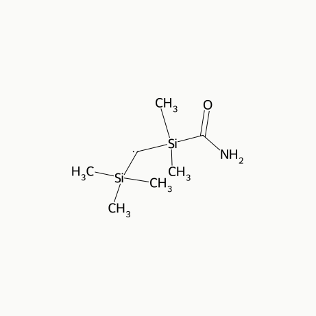 C[Si](C)(C)[CH][Si](C)(C)C(N)=O